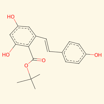 CC(C)(C)OC(=O)c1c(O)cc(O)cc1C=Cc1ccc(O)cc1